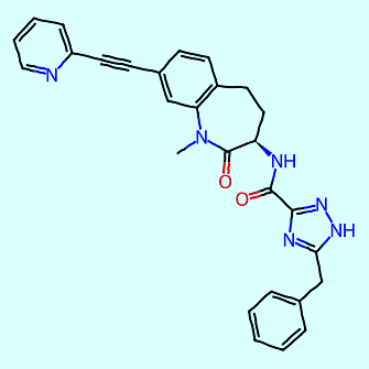 CN1C(=O)[C@H](NC(=O)c2n[nH]c(Cc3ccccc3)n2)CCc2ccc(C#Cc3ccccn3)cc21